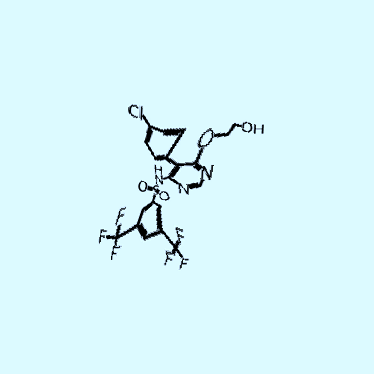 O=S(=O)(Nc1ncnc(OCCO)c1-c1ccc(Cl)cc1)c1cc(C(F)(F)F)cc(C(F)(F)F)c1